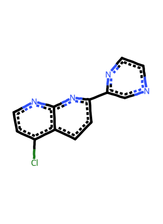 Clc1ccnc2nc(-c3cnccn3)ccc12